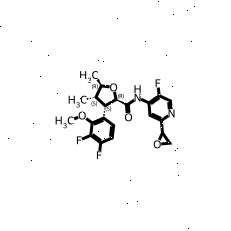 COc1c([C@@H]2[C@H](C)[C@@H](C)O[C@H]2C(=O)Nc2cc(C3CO3)ncc2F)ccc(F)c1F